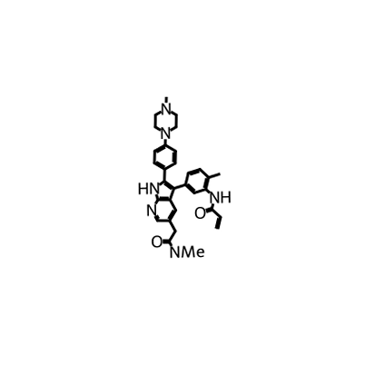 C=CC(=O)Nc1cc(-c2c(-c3ccc(N4CCN(C)CC4)cc3)[nH]c3ncc(CC(=O)NC)cc23)ccc1C